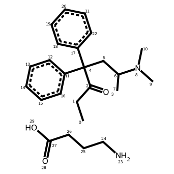 CCC(=O)C(CC(C)N(C)C)(c1ccccc1)c1ccccc1.NCCCC(=O)O